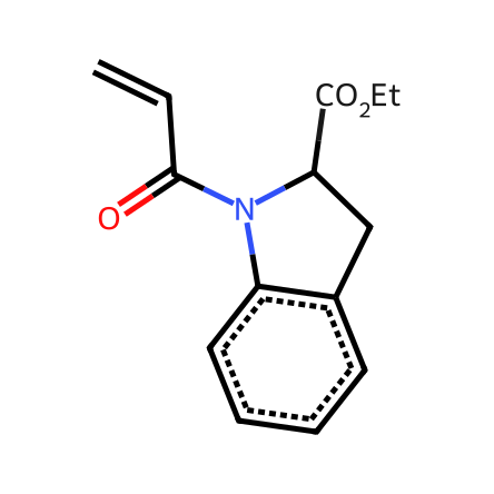 C=CC(=O)N1c2ccccc2CC1C(=O)OCC